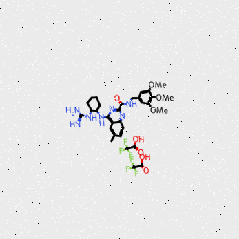 COc1cc(CNC(=O)c2nc(NC3CCCCC3NC(=N)N)c3cc(C)ccc3n2)cc(OC)c1OC.O=C(O)C(F)(F)F.O=C(O)C(F)(F)F